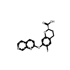 O=C(O)[C@H]1CCc2cc(F)c(Oc3ccc4ccncc4n3)cc2O1